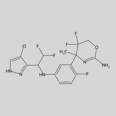 CC1(c2cc(NC(c3n[nH]cc3Cl)C(F)F)ccc2F)N=C(N)OCC1(F)F